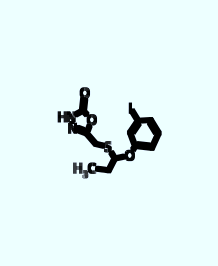 CCC(Oc1cccc(I)c1)SCc1n[nH]c(=O)o1